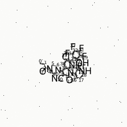 C=CC(=O)N1CCN(c2c(C#N)c(=O)n(C3=C(C)C=CNC3C(C)C)c3nc(-c4c(O)c(F)c(F)c(F)c4F)c(Cl)cc23)CC1